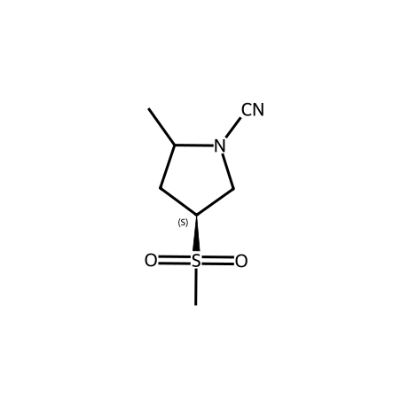 CC1C[C@H](S(C)(=O)=O)CN1C#N